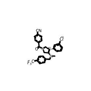 CN(Cc1ccc(C(F)(F)F)cc1)C1CN(C(=O)c2ccc(C#N)cc2)C[C@@H]1c1cccc(Cl)c1